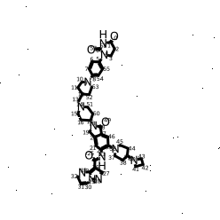 O=C1CCN(c2ccc(N3CCC(CN4CCC(N5Cc6cc(NC(=O)c7cnn8cccnc78)c(N7CCC(N8CCC8)CC7)cc6C5=O)CC4)CC3)cc2)C(=O)N1